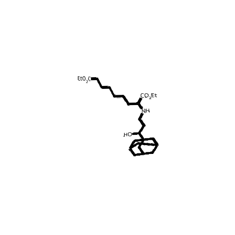 CCOC(=O)CCCCCCC(NCCC(O)C12CC3CC(CC(C3)C1)C2)C(=O)OCC